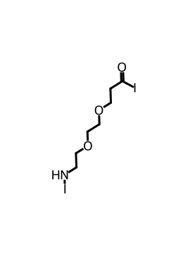 O=C(I)CCOCCOCCNI